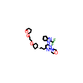 FC(F)c1nc2ccccc2n1-c1cc(CCC[C@H]2CC[C@H](OCCCOC3CCCCO3)CC2)nc(N2CCOCC2)n1